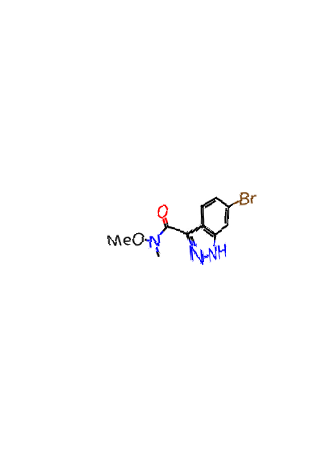 CON(C)C(=O)c1n[nH]c2cc(Br)ccc12